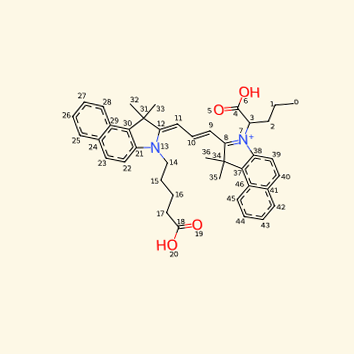 CCCC(C(=O)O)[N+]1=C(/C=C/C=C2\N(CCCCC(=O)O)c3ccc4ccccc4c3C2(C)C)C(C)(C)c2c1ccc1ccccc21